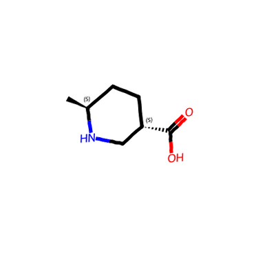 C[C@H]1CC[C@H](C(=O)O)CN1